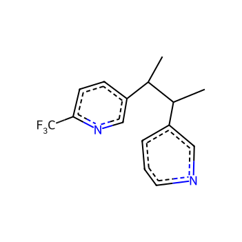 CC(c1cccnc1)C(C)c1ccc(C(F)(F)F)nc1